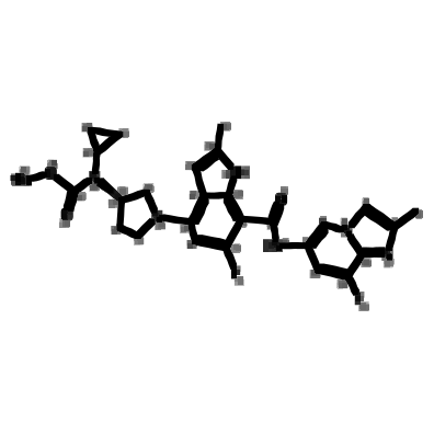 Cc1cn2cc(NC(=O)c3c(F)cc(N4CC[C@@H](N(C(=O)OC(C)(C)C)C5CC5)C4)c4cc(C)[nH]c34)cc(F)c2n1